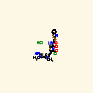 CN(C=N)CCC[N+](C)(C)C/C=C/C1=C(C(=O)Cl)N2C(=O)[C@@H](NC(=O)CSc3nc4ccccc4s3)[C@H]2SC1.Cl